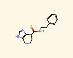 O=C(NCCc1ccccc1)C1CCCc2[nH]cnc21